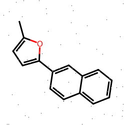 Cc1ccc(-c2c[c]c3ccccc3c2)o1